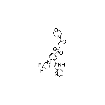 O=C(CCS(=O)(=O)c1ccc(N2CCC(F)(F)C2)c(-c2cc3ncccc3[nH]2)c1)N1CCOCC1